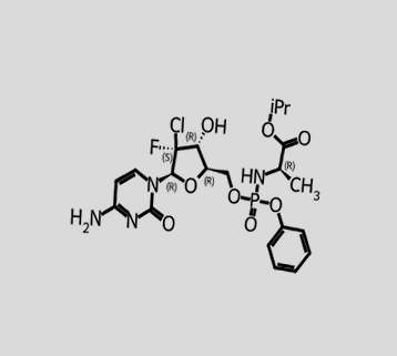 CC(C)OC(=O)[C@@H](C)NP(=O)(OC[C@H]1O[C@@H](n2ccc(N)nc2=O)[C@@](F)(Cl)[C@@H]1O)Oc1ccccc1